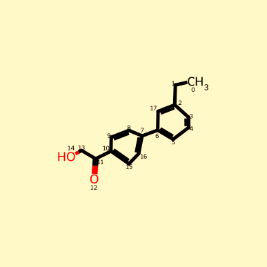 CCc1cccc(-c2ccc(C(=O)CO)cc2)c1